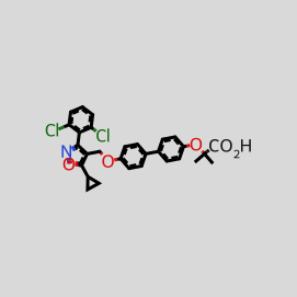 CC(C)(Oc1ccc(-c2ccc(OCc3c(-c4c(Cl)cccc4Cl)noc3C3CC3)cc2)cc1)C(=O)O